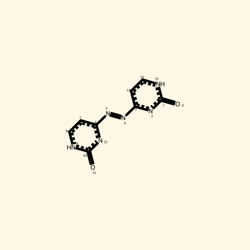 O=c1nc(N=Nc2cc[nH]c(=O)n2)cc[nH]1